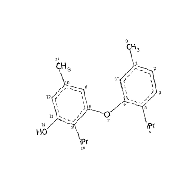 Cc1ccc(C(C)C)c(Oc2cc(C)cc(O)c2C(C)C)c1